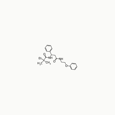 CCC(C)(C)C(=O)NC(CC(=O)NCCOc1ccccc1)c1ccccc1